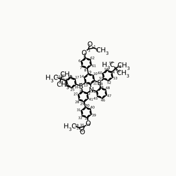 CC1OC1Oc1ccc(-c2cc3c4c(c2)B(c2ccc(C(C)(C)C)cc2)c2ccc(-c5ccc(OC6OC6C)cc5)cc2N4c2ccccc2B3c2ccc(C(C)(C)C)cc2)cc1